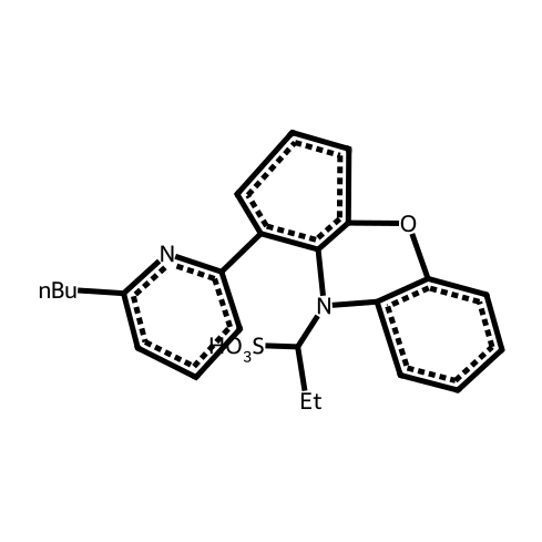 CCCCc1cccc(-c2cccc3c2N(C(CC)S(=O)(=O)O)c2ccccc2O3)n1